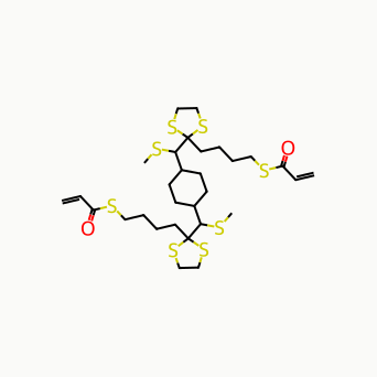 C=CC(=O)SCCCCC1(C(SC)C2CCC(C(SC)C3(CCCCSC(=O)C=C)SCCS3)CC2)SCCS1